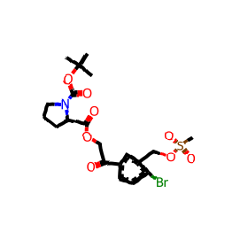 CC(C)(C)OC(=O)N1CCCC1C(=O)OCC(=O)c1ccc(Br)c(COS(C)(=O)=O)c1